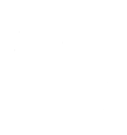 OCC1O[C@H](c2cccc(C#Cc3cccc([C@H]4OC(CO)[C@@H](O)C(O)C4O)c3)c2)C(O)C(O)[C@@H]1O